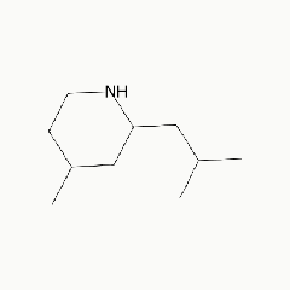 CC(C)CC1CC(C)CCN1